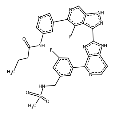 CCCC(=O)Nc1cncc(-c2ncc3[nH]nc(-c4nc5c(-c6cc(F)cc(CNS(C)(=O)=O)c6)nccc5[nH]4)c3c2F)c1